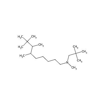 CC(CCCCCN(C)CC(C)(C)C)C(C)C(C)(C)C